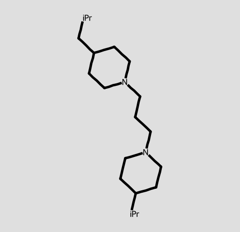 CC(C)CC1CCN(CCCN2CCC(C(C)C)CC2)CC1